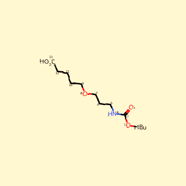 CC(C)(C)OC(=O)NCCCOCCCCC(=O)O